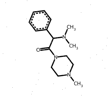 CN1CCN(C(=O)C(c2ccccc2)N(C)C)CC1